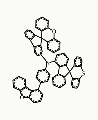 c1ccc2c(c1)Oc1ccccc1C21c2ccccc2-c2ccc(N(c3ccc(-c4cccc5oc6ccccc6c45)cc3)c3cccc4c3-c3ccccc3C43c4ccccc4Sc4ccccc43)cc21